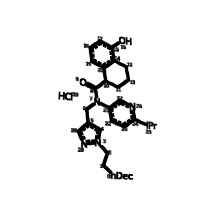 CCCCCCCCCCCCn1cc(CN(C(=O)C2CCCc3c(O)cccc32)c2ccc(C(C)C)nc2)cn1.Cl